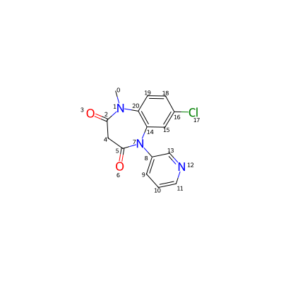 CN1C(=O)CC(=O)N(c2cccnc2)c2cc(Cl)ccc21